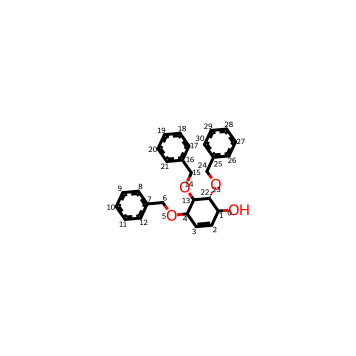 OC1C=CC(OCc2ccccc2)C(OCc2ccccc2)[C@@H]1OCc1ccccc1